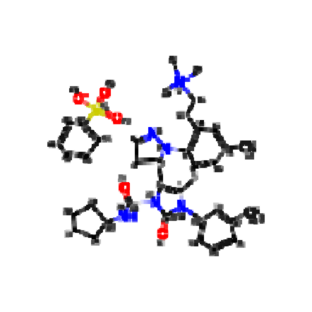 Cc1c(-c2ccnn2-c2ccc(C#N)cc2CC[N+](C)(C)C)n(C(=O)NC2CCCC2)c(=O)n1-c1cccc(C(F)(F)F)c1.O=S(=O)([O-])c1ccccc1